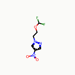 O=[N+]([O-])c1cnn(CCOC(F)F)c1